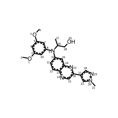 COc1cc(OC)cc(N(c2ccc3ncc(-c4cnn(C)c4)nc3c2)C(C)CO)c1